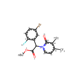 CCCCOC(=O)C(c1cc(Br)ccc1F)n1ccc(C(F)(F)F)c(CC)c1=O